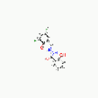 O=C(N/N=C/c1cc(F)cc(F)c1O)c1ccccc1O